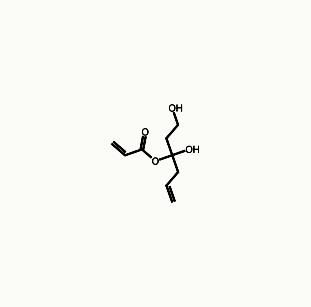 C=CCC(O)(CCO)OC(=O)C=C